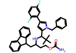 CC(C)(C)C(NC(CCOC(N)=O)CC1c2ccccc2-c2ccccc21)c1cc(-c2cc(F)ccc2F)cn1Cc1ccccc1